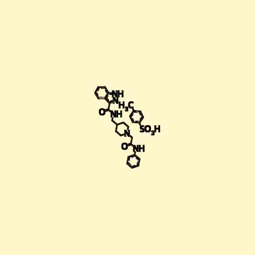 Cc1ccc(S(=O)(=O)O)cc1.O=C(CN1CCC(CNC(=O)c2n[nH]c3ccccc23)CC1)Nc1ccccc1